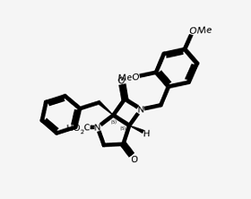 COc1ccc(CN2C(=O)[C@]3(Cc4ccccc4)[C@H]2C(=O)CN3C(=O)O)c(OC)c1